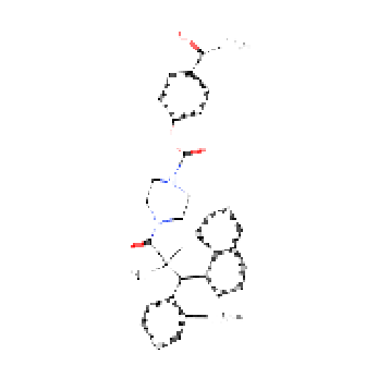 COC(=O)c1ccc(OC(=O)N2CCN(C(=O)C(C)(C#N)C(c3ccccc3OC)c3cccc4ccccc34)CC2)cc1